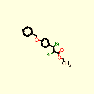 CCOC(=O)C(Br)C(Br)c1ccc(OCc2ccccc2)cc1